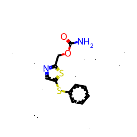 NC(=O)OCc1ncc(Sc2ccccc2)s1